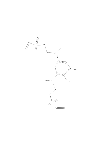 C=CS(=O)(=O)CCN(C)c1cc(C)c(C#N)c(N(C)CCS(=O)(=O)C=C)n1